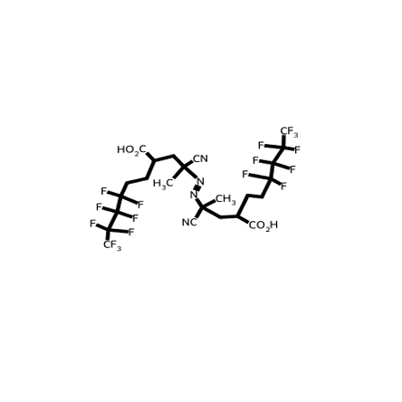 CC(C#N)(CC(CCC(F)(F)C(F)(F)C(F)(F)C(F)(F)F)C(=O)O)N=NC(C)(C#N)CC(CCC(F)(F)C(F)(F)C(F)(F)C(F)(F)F)C(=O)O